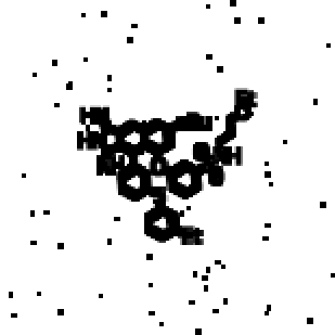 CCCCc1cc(Oc2cccc(S(=O)(=O)NCCCOCC)c2)c2c(-c3cccc(Sc4cccc(CC)c4)c3)c3c(cc2c1)C(=N)NC3=N